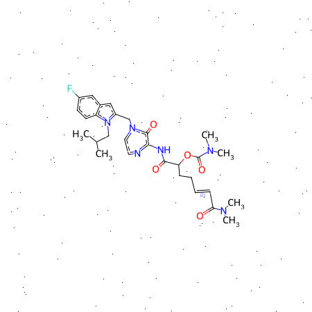 CC(C)Cn1c(Cn2ccnc(NC(=O)C(CC/C=C/C(=O)N(C)C)OC(=O)N(C)C)c2=O)cc2cc(F)ccc21